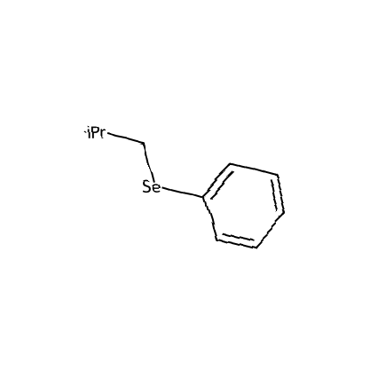 C[C](C)C[Se]c1ccccc1